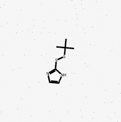 CC(C)(C)SSc1ncc[nH]1